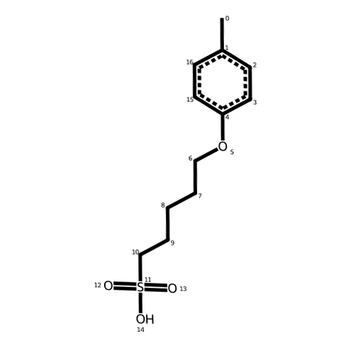 Cc1ccc(OCCCCCS(=O)(=O)O)cc1